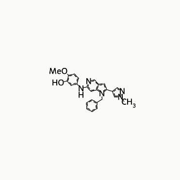 COc1ccc(Nc2cc3c(cn2)cc(-c2cnn(C)c2)n3Cc2ccccc2)cc1O